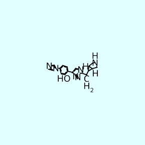 C=C(c1ncc(-c2ccc(-n3ccnc3)cc2O)nn1)C1[C@H]2CNC[C@@H]12